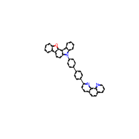 c1cnc2c(c1)ccc1ccc(-c3ccc(-c4ccc(-n5c6ccccc6c6c7oc8ccccc8c7ccc65)cc4)cc3)nc12